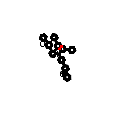 c1ccc(-c2cccc(-c3c(-c4ccc5c(c4)oc4ccccc45)cccc3N(c3ccc(-c4ccc5c(c4)oc4ccccc45)cc3)c3cccc(-c4ccccc4)c3)c2)cc1